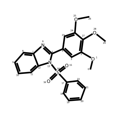 COc1cc(-c2nc3ccccc3n2S(=O)(=O)c2ccccc2)cc(OC)c1OC